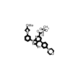 COC1CN(c2cccc(-n3nc(C(C)C)c4c(-c5ccc(N6CCOCC6)cc5)cc(C(=O)NS(C)(=O)=O)nc43)c2)C1